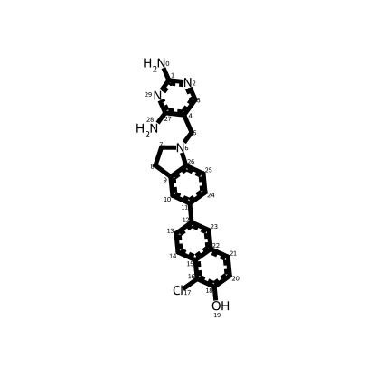 Nc1ncc(CN2CCc3cc(-c4ccc5c(Cl)c(O)ccc5c4)ccc32)c(N)n1